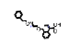 C/C=C(/C(=O)O)c1ccccc1COC/C=N/OCCc1ccccc1